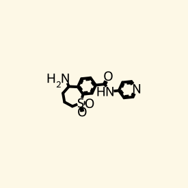 NC1CCCS(=O)(=O)c2cc(C(=O)Nc3ccncc3)ccc21